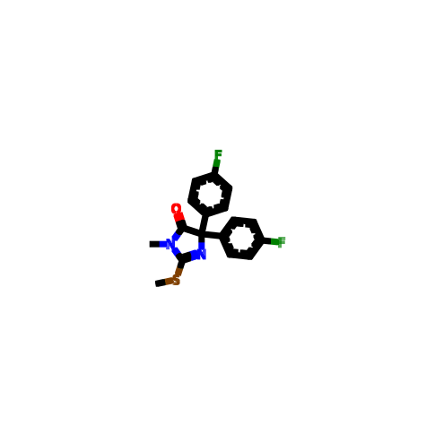 CSC1=NC(c2ccc(F)cc2)(c2ccc(F)cc2)C(=O)N1C